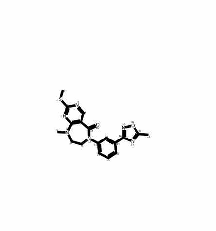 CSc1ncc2c(n1)N(C)CCN(c1cccc(-c3noc(C)n3)c1)C2=O